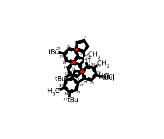 Cl.Cl.[CH2]=[Hf]([C]1=CC=CC1)([c]1ccc(C(C)(C)C)cc1)([c]1ccc(C(C)(C)C)cc1)[c]1c(C)c(C(C)(C)C)cc2c1Cc1cc(C)c(C(C)(C)C)cc1-2